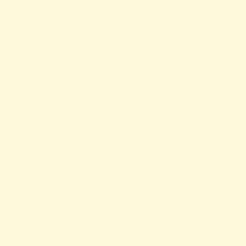 CCOC(=O)c1cccnc1-c1ccc(OC)c(C#N)c1